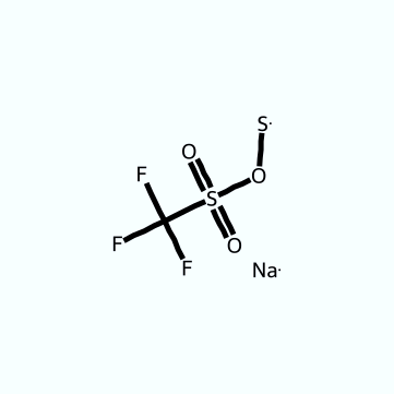 O=S(=O)(O[S])C(F)(F)F.[Na]